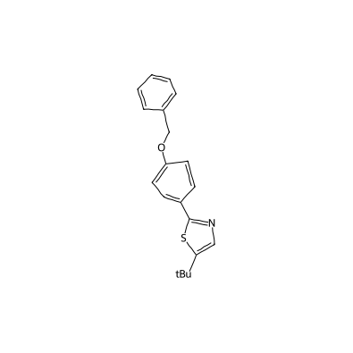 CC(C)(C)c1cnc(-c2ccc(OCc3ccccc3)cc2)s1